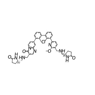 COc1nc(-c2cccc(-c3cccc(-c4ccn5c(=O)c(CNC[C@@H]6CCC(=O)N6)cnc5c4)c3C)c2Cl)ccc1CNC[C@H]1CCC(=O)N1